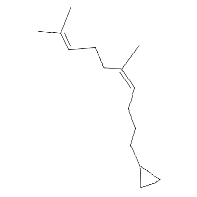 CC(C)=CCCC(C)=CCCCC1CC1